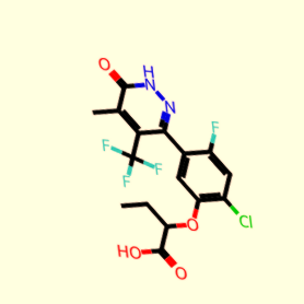 CCC(Oc1cc(-c2n[nH]c(=O)c(C)c2C(F)(F)F)c(F)cc1Cl)C(=O)O